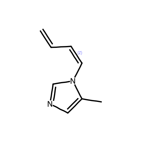 C=C/C=C\n1cncc1C